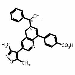 Cc1noc(C)c1-c1cnc2c(c1)C[C@@H]([C@H](C)c1ccccc1)C=C2c1ccc(C(=O)O)cc1